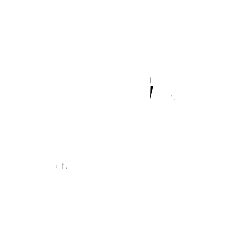 [C-]#[N+]c1ccc2c(c1)C1CCCN[C@H]1C2